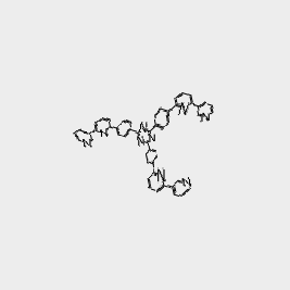 c1cncc(-c2cccc(-c3ccc(-c4nc(-c5ccc(-c6cccc(-c7cccnc7)n6)cc5)nc(-c5ccc(-c6cccc(-c7cccnc7)n6)cc5)n4)cc3)n2)c1